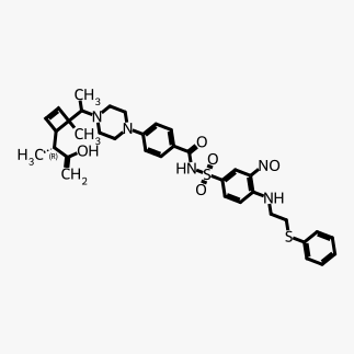 C=C(O)[C@H](C)C1C=CC1(C)C(C)N1CCN(c2ccc(C(=O)NS(=O)(=O)c3ccc(NCCSc4ccccc4)c(N=O)c3)cc2)CC1